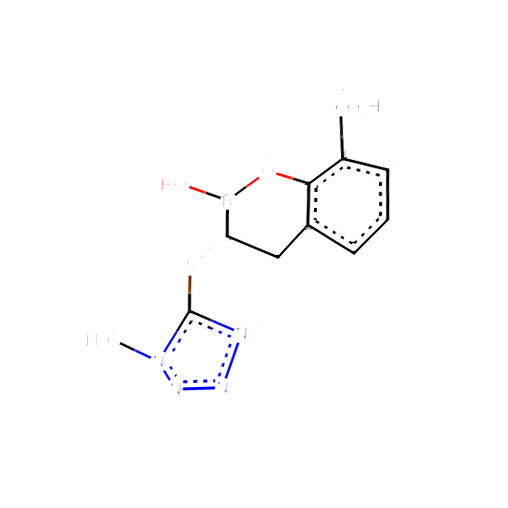 Cn1nnnc1S[C@H]1Cc2cccc(C(=O)O)c2OB1O